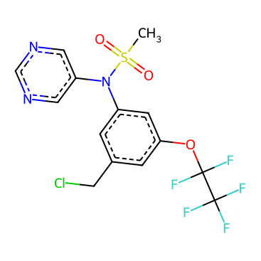 CS(=O)(=O)N(c1cncnc1)c1cc(CCl)cc(OC(F)(F)C(F)(F)F)c1